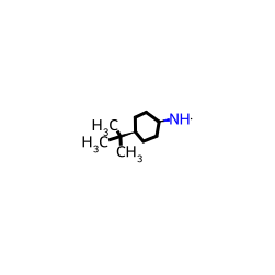 CC(C)(C)[C@H]1CC[C@@H]([NH])CC1